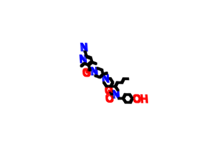 CCCCC1CN(CC2CCC(O)CC2)C(=O)OC12CCN(C1(C)CCN(C(=O)c3c(C)cc(C#N)nc3C)CC1)CC2